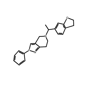 CC(c1ccc2c(c1)OCC2)N1CCc2np(-c3ccccc3)cc2C1